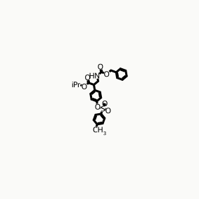 Cc1ccc(S(=O)(=O)Oc2ccc(C(CNC(=O)OCc3ccccc3)C(=O)OC(C)C)cc2)cc1